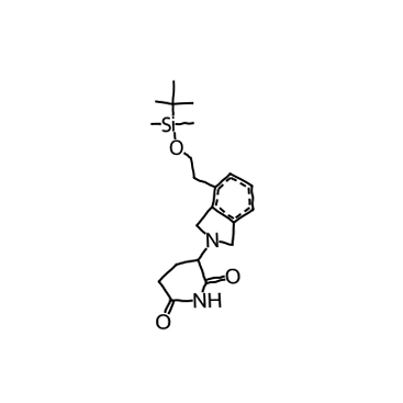 CC(C)(C)[Si](C)(C)OCCc1cccc2c1CN(C1CCC(=O)NC1=O)C2